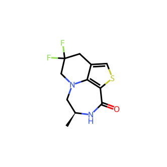 C[C@H]1CN2CC(F)(F)Cc3csc(c32)C(=O)N1